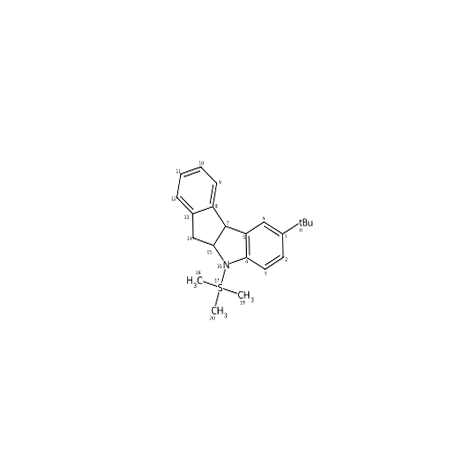 CC(C)(C)c1ccc2c(c1)C1c3ccccc3CC1N2S(C)(C)C